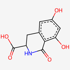 O=C1NC(C(=O)O)Cc2cc(O)cc(O)c21